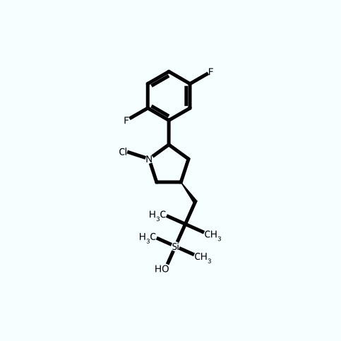 CC(C)(C[C@@H]1CC(c2cc(F)ccc2F)N(Cl)C1)[Si](C)(C)O